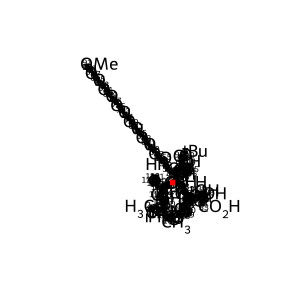 C=C(C)CO[C@H](C[C@H](C(C)C)N(C)C(=O)[C@@H](NC(=O)[C@H]1CCCC[N+]1(C)Cc1ccc(O[C@@H]2O[C@H](C(=O)O)C[C@H](O)[C@H]2O)c(NC(=O)CCNC(=O)[C@H](CCCCNC(=O)CCOCCOCCOCCOCCOCCOCCOCCOCCOCCOCCOCCOC)NC(=O)[C@H](CNC(=O)OC(C)(C)C)N2C(=O)C=CC2=O)c1)[C@@H](C)CC)c1nc(C(=O)N[C@@H](Cc2ccccc2)C[C@H](C)C(=O)O)cs1